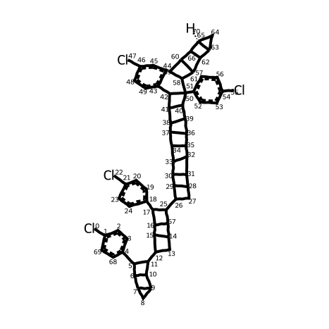 Clc1ccc(C2C3C4CC4C3C2C2CC3C2C2C(c4ccc(Cl)cc4)C(C4CC5C4C4C5C5C4C4C5C5C4C4C5C5C4C(c4ccc(Cl)cc4)C5(c4ccc(Cl)cc4)C4CC5C4C4C6C[C@@H]6C54)C32)cc1